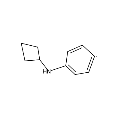 [c]1ccc(NC2CCC2)cc1